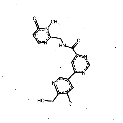 Cn1c(CNC(=O)c2cc(-c3cnc(CO)c(Cl)c3)ncn2)nccc1=O